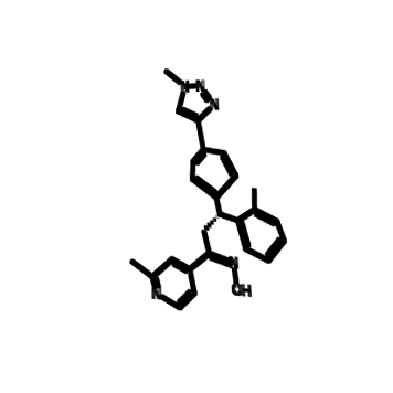 Cc1cc(/C(C[C@H](c2ccc(-c3cn(C)nn3)cc2)c2ccccc2C)=N\O)ccn1